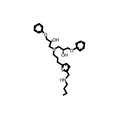 CCCCNCc1ccc(CCCN(C[C@H](O)COc2ccccc2)C[C@H](O)COc2ccccc2)s1